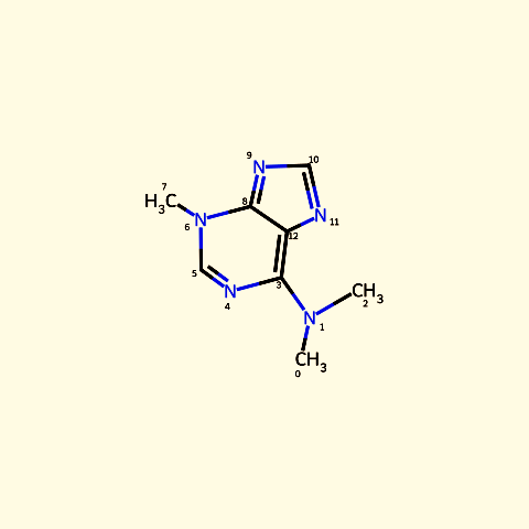 CN(C)c1ncn(C)c2ncnc1-2